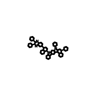 c1ccc(-c2nc3ccc(-c4ccc(-n5c6ccccc6c6cc7c8c9ccccc9c(-c9ccccc9)cc8n(-c8ccccc8)c7cc65)c5ccccc45)cc3nc2-c2ccccc2)cc1